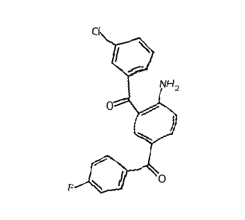 Nc1ccc(C(=O)c2ccc(F)cc2)cc1C(=O)c1cccc(Cl)c1